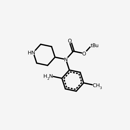 Cc1ccc(N)c(N(C(=O)OC(C)(C)C)C2CCNCC2)c1